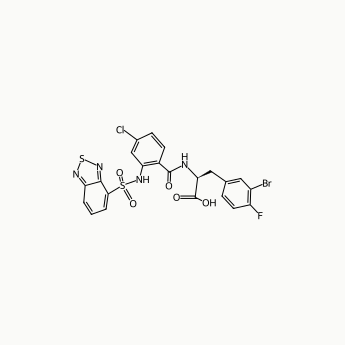 O=C(N[C@@H](Cc1ccc(F)c(Br)c1)C(=O)O)c1ccc(Cl)cc1NS(=O)(=O)c1cccc2nsnc12